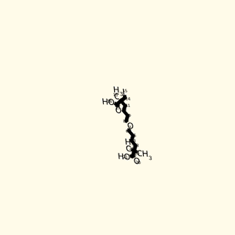 CC(C)(CCCCOCCCCC(C)(CI)C(=O)O)C(=O)O